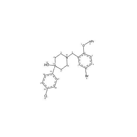 CCCOc1ccc(Br)cc1CN1CCC(O)(c2ccc(Cl)cc2)CC1